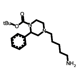 CC(C)(C)OC(=O)N1CCN(CCCCCN)CC1c1ccccc1